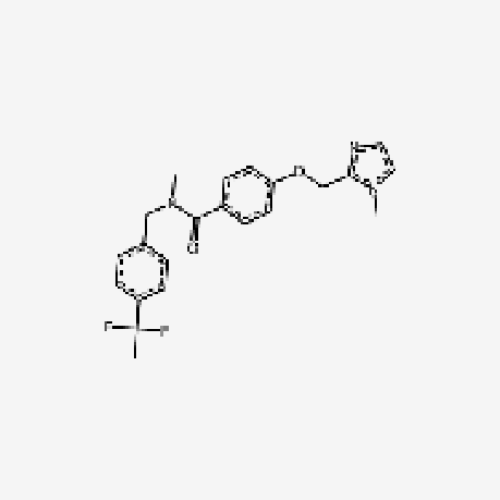 CN(Cc1ccc(C(C)(F)F)cc1)C(=O)c1ccc(OCc2nccn2C)cc1